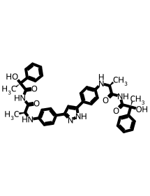 C[C@H](Nc1ccc(-c2cc(-c3ccc(N[C@@H](C)C(=O)NC(=O)[C@@](C)(O)c4ccccc4)cc3)[nH]n2)cc1)C(=O)NC(=O)[C@@](C)(O)c1ccccc1